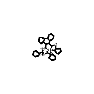 c1ccc(C2=NC(c3c(C4Nc5ccccc5O4)c4ccccc4c4ccccc34)NC(c3ccccc3)N2)cc1